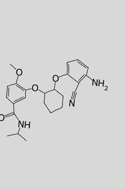 COc1ccc(C(=O)NC(C)C)cc1OC1CCCCC1Oc1cccc(N)c1C#N